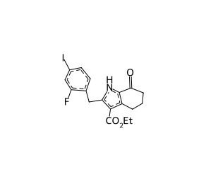 CCOC(=O)c1c(Cc2ccc(I)cc2F)[nH]c2c1CCCC2=O